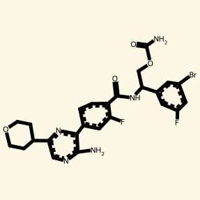 NC(=O)OCC(NC(=O)c1ccc(-c2nc(C3CCOCC3)cnc2N)cc1F)c1cc(F)cc(Br)c1